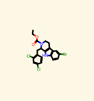 CCOC(=O)N1CCc2c([nH]c3ccc(Br)cc23)C1Cc1ccc(Cl)cc1Cl